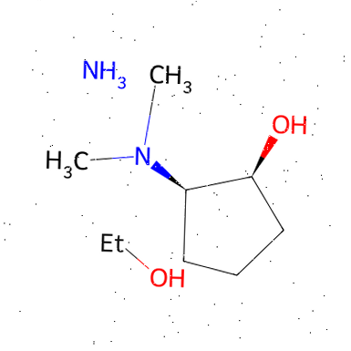 CCO.CN(C)[C@@H]1CCC[C@@H]1O.N